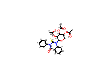 CC(=O)OC1COC(n2c(=S)n(-c3ccccc3)c(=O)c3ccccc32)C(OC(C)=O)C1OC(C)=O